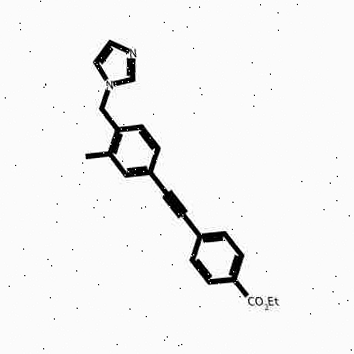 CCOC(=O)c1ccc(C#Cc2ccc(Cn3ccnc3)c(C)c2)cc1